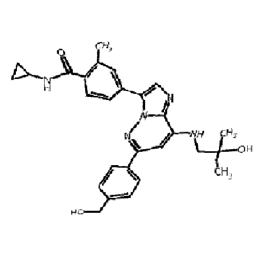 Cc1cc(-c2cnc3c(NCC(C)(C)O)cc(-c4ccc(CO)cc4)nn23)ccc1C(=O)NC1CC1